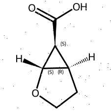 O=C(O)[C@H]1[C@H]2CCO[C@@H]21